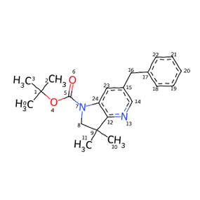 CC(C)(C)OC(=O)N1CC(C)(C)c2ncc(Cc3ccccc3)cc21